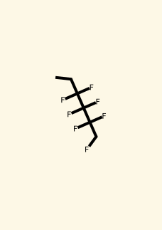 CCC(F)(F)C(F)(F)C(F)(F)CF